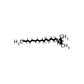 CCCCCCCCCCCCCCCCn1nc(C)cc1C